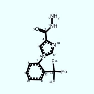 NNC(=O)c1cn(-c2ccccc2C(F)(F)F)cn1